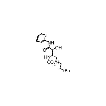 CC(C)(C)CCCC[C@H](NC(=O)O)[C@H](O)C(=O)Nc1ccccn1